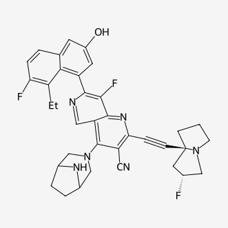 CCc1c(F)ccc2cc(O)cc(-c3ncc4c(N5CC6CCC(C5)N6)c(C#N)c(C#C[C@@]56CCCN5C[C@H](F)C6)nc4c3F)c12